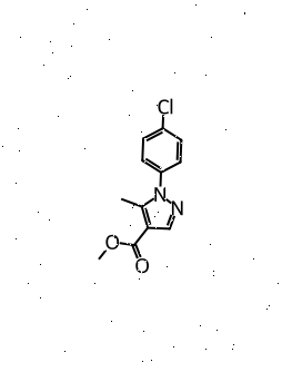 COC(=O)c1cnn(-c2ccc(Cl)cc2)c1C